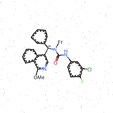 CCN(C(=O)Nc1ccc(F)c(Cl)c1)[C@H](c1ccccc1)c1cnc(OC)c2ccccc12